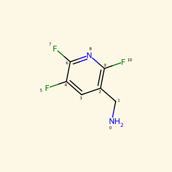 NCc1cc(F)c(F)nc1F